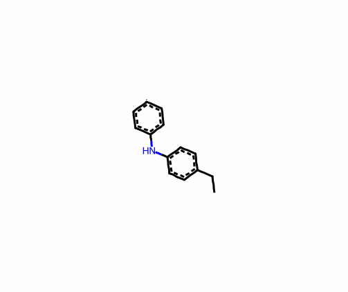 CCc1ccc(Nc2cc[c]cc2)cc1